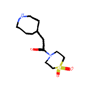 O=C(CC1CCNCC1)N1CCS(=O)(=O)CC1